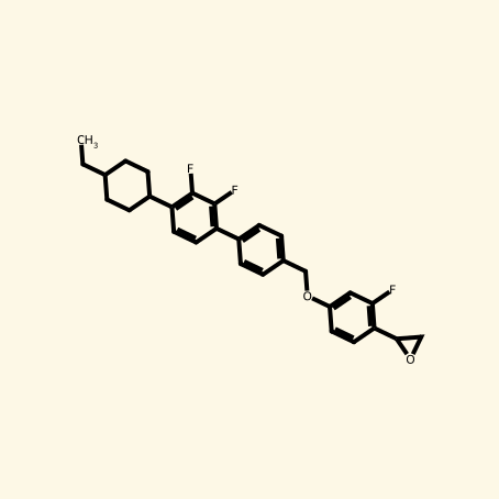 CCC1CCC(c2ccc(-c3ccc(COc4ccc(C5CO5)c(F)c4)cc3)c(F)c2F)CC1